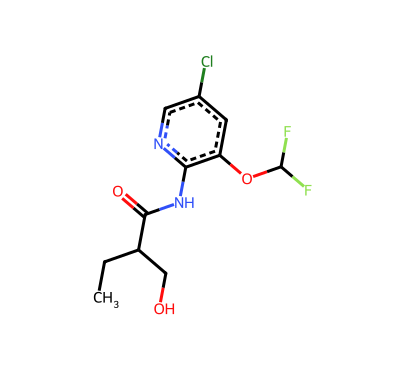 CCC(CO)C(=O)Nc1ncc(Cl)cc1OC(F)F